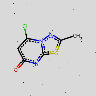 Cc1nn2c(Cl)cc(=O)nc2s1